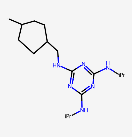 [CH2]C1CCC(CNc2nc(NC(C)C)nc(NC(C)C)n2)CC1